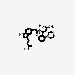 CC(C)CC(NC(=O)Cc1ccc2[nH]cc(CCC(=O)O)c2c1)c1ccccc1N1CCOCC1